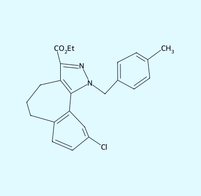 CCOC(=O)c1nn(Cc2ccc(C)cc2)c2c1CCCc1ccc(Cl)cc1-2